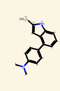 CN(C)c1ccc(-c2cccc3[nH]c(C(=O)O)cc23)cc1